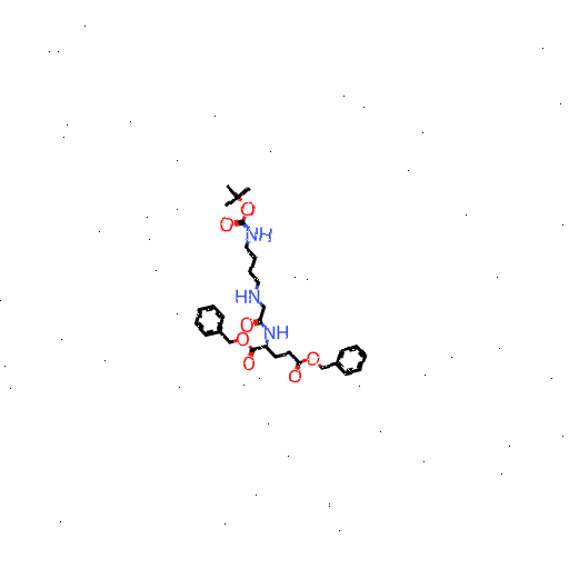 CC(C)(C)OC(=O)NCCCCNCC(=O)NC(CCC(=O)OCc1ccccc1)C(=O)OCc1ccccc1